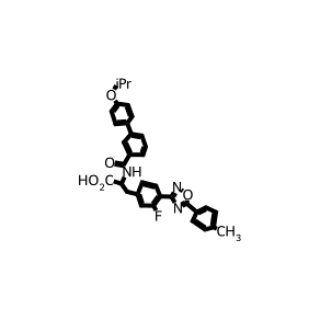 Cc1ccc(-c2nc(-c3ccc(CC(NC(=O)c4cccc(-c5ccc(OC(C)C)cc5)c4)C(=O)O)cc3F)no2)cc1